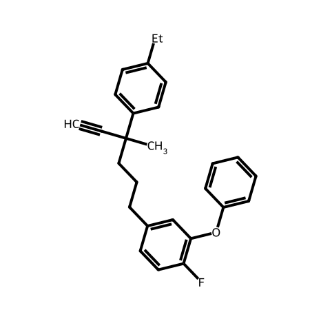 C#CC(C)(CCCc1ccc(F)c(Oc2ccccc2)c1)c1ccc(CC)cc1